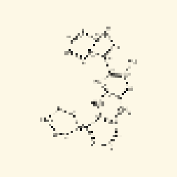 Cc1cccc(N2CCNCC2)c1Nc1ncc(Cl)c(-c2cnc3ccccn23)n1